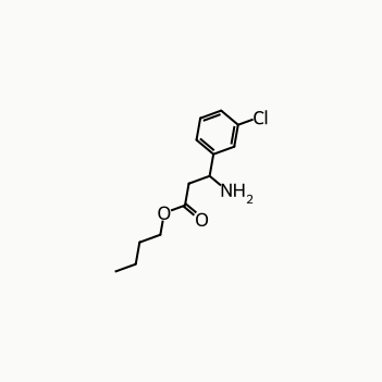 CCCCOC(=O)CC(N)c1cccc(Cl)c1